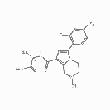 CNC(=O)[C@@H](NC(=O)c1nc(-c2ccc(C)cc2F)n2c1CN(C)CC2)C(C)(C)C